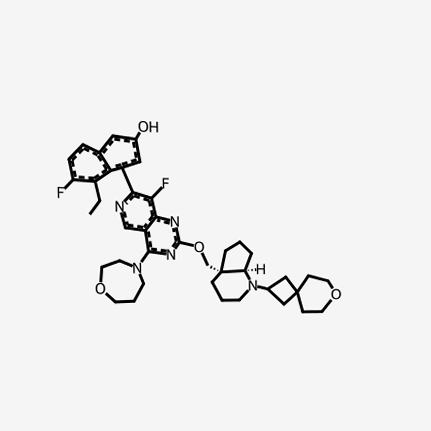 CCc1c(F)ccc2cc(O)cc(-c3ncc4c(N5CCCOCC5)nc(OC[C@]56CCC[C@H]5N(C5CC7(CCOCC7)C5)CCC6)nc4c3F)c12